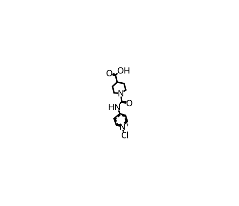 O=C(O)C1CCN(C(=O)Nc2cc[n+](Cl)cc2)CC1